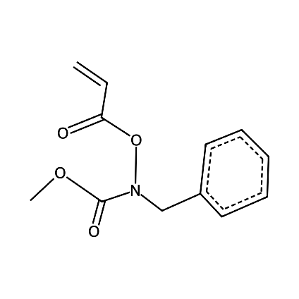 C=CC(=O)ON(Cc1ccccc1)C(=O)OC